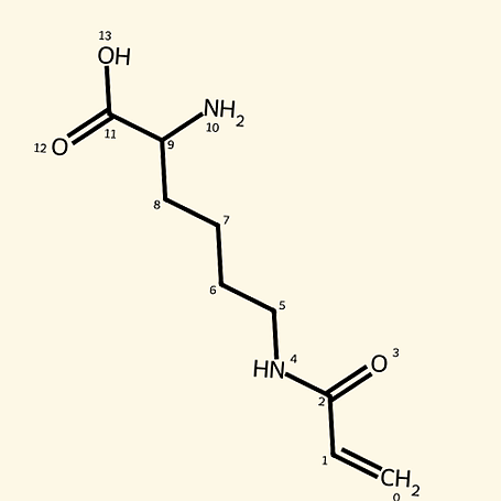 C=CC(=O)NCCCCC(N)C(=O)O